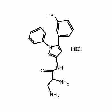 CCCc1cccc(-c2cc(NC(=O)C(N)CN)nn2-c2ccccc2)c1.Cl.Cl